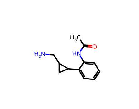 CC(=O)Nc1ccccc1C1CC1CN